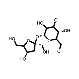 OCC1O[C@H](O[C@@]2(CO)C[C@@H](O)C(CO)O2)C(O)C(O)[C@@H]1O